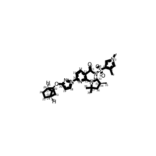 Cc1cn(C)cc1S(=O)(=O)NC(=O)c1ccc(-n2ccc(O[C@H]3C[C@H]4CC[C@@H]3C4)n2)nc1N1C[C@@H](C)CC1(C)C